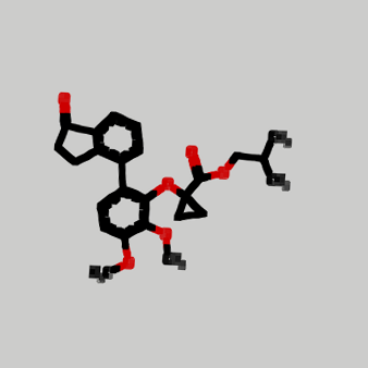 COc1ccc(-c2cccc3c2CCC3=O)c(OC2(C(=O)OCC(C)C)CC2)c1OC